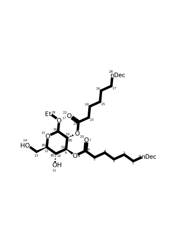 CCCCCCCCCCCCCCCC(=O)O[C@H]1[C@H](O)[C@@H](CO)OC(OCC)[C@@H]1OC(=O)CCCCCCCCCCCCCCC